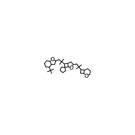 CC(C)(C)C1CCCC2OC(CC(C)(C)C3C4CC(CC(C)(C)C5CC6OCCCC65)OC4C34CCCC4)CC21